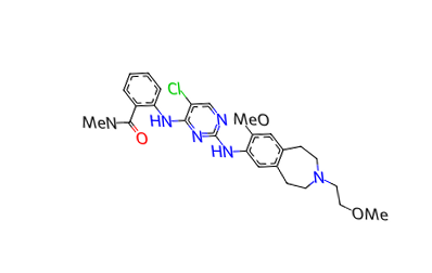 CNC(=O)c1ccccc1Nc1nc(Nc2cc3c(cc2OC)CCN(CCOC)CC3)ncc1Cl